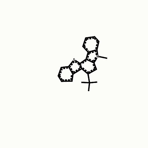 Cn1c2ccccc2c2c3sc4ccccc4c3c(C(C)(C)C)cc21